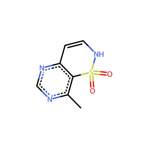 Cc1ncnc2c1S(=O)(=O)NC=C2